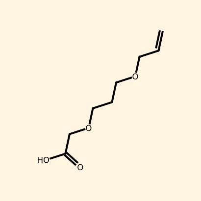 C=CCOCCCOCC(=O)O